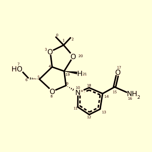 CC1(C)OC2[C@@H](CO)O[C@@H]([n+]3cccc(C(N)=O)c3)[C@H]2O1